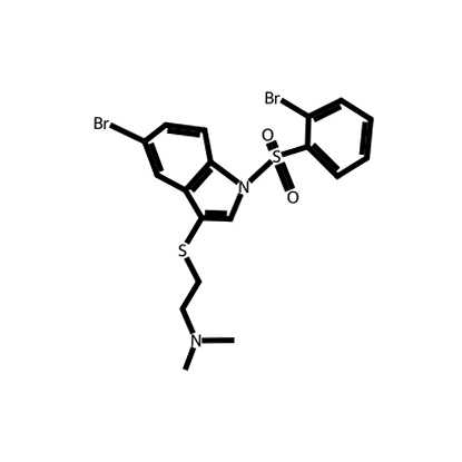 CN(C)CCSc1cn(S(=O)(=O)c2ccccc2Br)c2ccc(Br)cc12